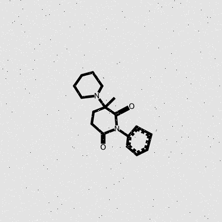 CC1(N2CCCCC2)CCC(=O)N(c2ccccc2)C1=O